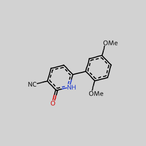 COc1ccc(OC)c(-c2ccc(C#N)c(=O)[nH]2)c1